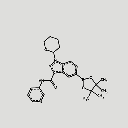 CC1(C)OB(c2ccc3c(c2)c(C(=O)Nc2cccnc2)nn3C2CCCCO2)OC1(C)C